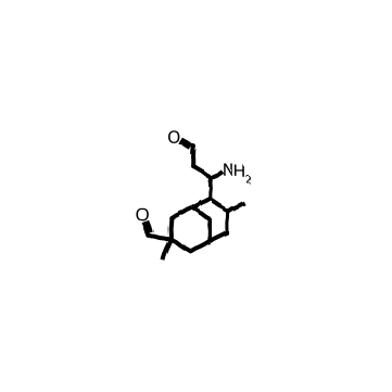 CC1CC2CC(CC(C)(C=O)C2)C1C(N)CC=O